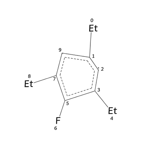 CCc1[c]c(CC)c(F)c(CC)c1